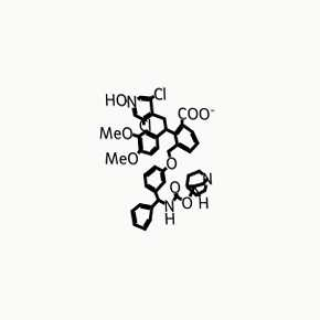 COc1ccc(C(Cc2c(Cl)c[n+](O)cc2Cl)c2c(COc3cccc(C(NC(=O)O[C@H]4CN5CCC4CC5)c4ccccc4)c3)cccc2C(=O)[O-])cc1OC